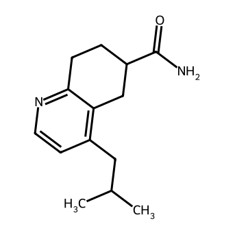 CC(C)Cc1ccnc2c1CC(C(N)=O)CC2